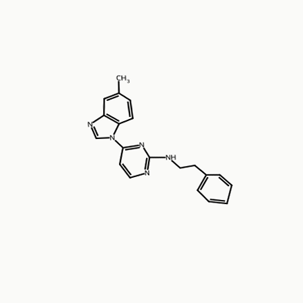 Cc1ccc2c(c1)ncn2-c1ccnc(NCCc2ccccc2)n1